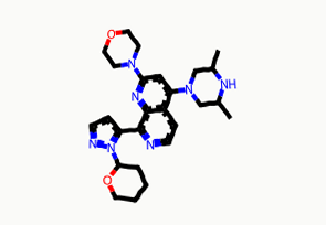 CC1CN(c2cc(N3CCOCC3)nc3c(-c4ccnn4C4CCCCO4)nccc23)CC(C)N1